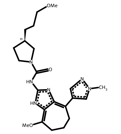 COCCC[C@@H]1CCN(C(=O)Nc2nc3c([nH]2)=C(OC)CCCC=3c2cnn(C)c2)C1